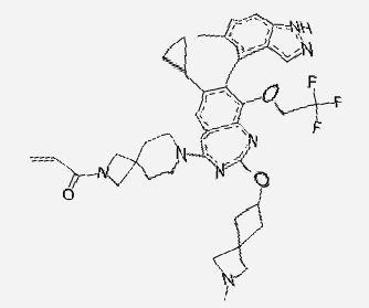 C=CC(=O)N1CC2(CCN(c3nc(OC4CC5(C4)CN(C)C5)nc4c(OCC(F)(F)F)c(-c5c(C)ccc6[nH]ncc56)c(C5CC5)cc34)CC2)C1